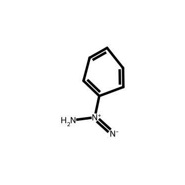 [N-]=[N+](N)c1ccccc1